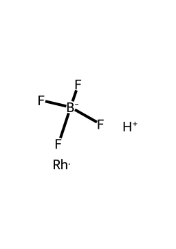 F[B-](F)(F)F.[H+].[Rh]